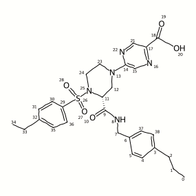 CCCc1ccc(CNC(=O)[C@H]2CN(c3cnc(C(=O)O)cn3)CCN2S(=O)(=O)c2ccc(CC)cc2)cc1